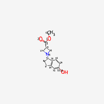 COC(=O)C1CN(C2CCc3cc(O)ccc32)C1